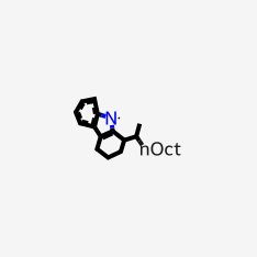 CCCCCCCCC(C)C1CCCC2=C1[N]c1ccccc12